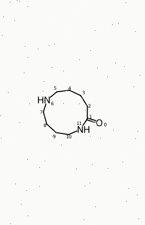 O=C1CCCCNCCCCN1